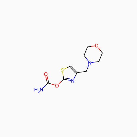 NC(=O)Oc1nc(CN2CCOCC2)cs1